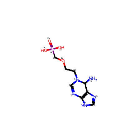 NC1c2nc[nH]c2N=CN1CCOCP(=O)(O)O